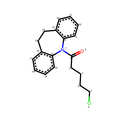 O=C(CCCCCl)N1c2ccccc2CCc2ccccc21